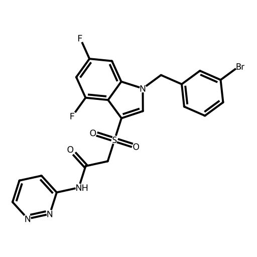 O=C(CS(=O)(=O)c1cn(Cc2cccc(Br)c2)c2cc(F)cc(F)c12)Nc1cccnn1